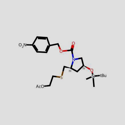 CC(=O)OCCSC[C@@H]1C[C@H](O[Si](C)(C)C(C)(C)C)CN1C(=O)OCc1ccc([N+](=O)[O-])cc1